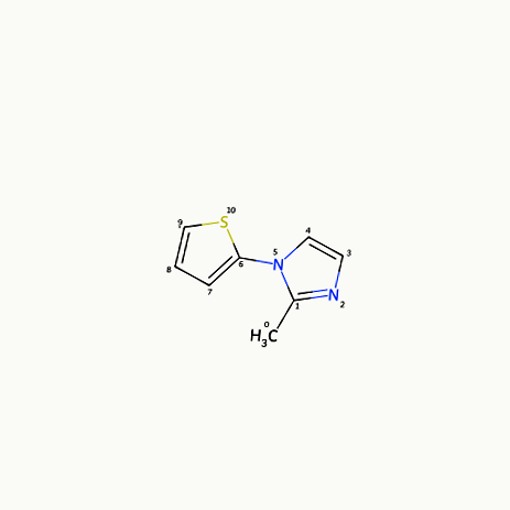 Cc1nccn1-c1cc[c]s1